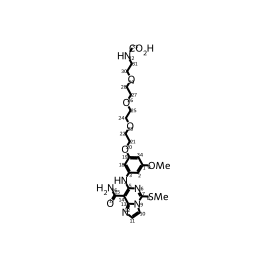 COc1cc(Nc2nc(SC)n3ccnc3c2C(N)=O)cc(OCCOCCOCCOCCNC(=O)O)c1